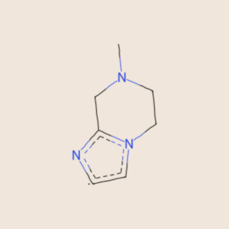 CN1CCn2c[c]nc2C1